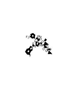 C=C[C@@H]1C[C@]1(NC(=O)[C@@H]1C[C@@H](OC(=O)N2Cc3cccc(F)c3C2)CN1C(=O)[C@@H](Nc1cccc(C(F)(F)F)c1)C(C)(C)C)C(=O)NS(=O)(=O)C1CC1